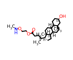 CNOCCOC(=O)CC[C@@H](C)[C@H]1CC[C@H]2[C@@H]3CC=C4C[C@@H](O)CC[C@]4(C)[C@H]3CC[C@]12C